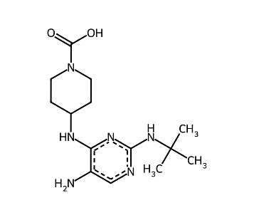 CC(C)(C)Nc1ncc(N)c(NC2CCN(C(=O)O)CC2)n1